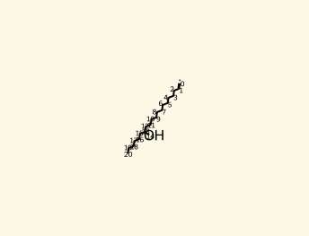 [CH]=CCCCCCCCCCCCC(O)CCCCCC